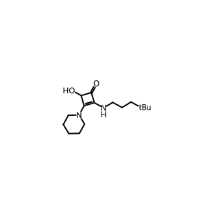 CC(C)(C)CCCNC1=C(N2CCCCC2)C(O)C1=O